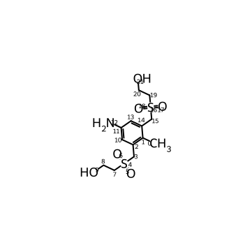 Cc1c(CS(=O)(=O)CCO)cc(N)cc1CS(=O)(=O)CCO